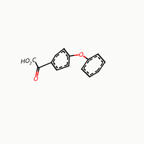 O=C(O)C(=O)c1ccc(Oc2ccccc2)cc1